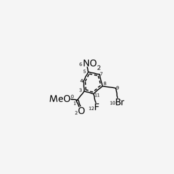 COC(=O)c1cc([N+](=O)[O-])cc(CBr)c1F